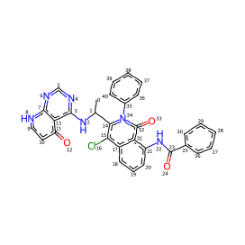 CC(Nc1ncnc2[nH]ccc(=O)c12)c1c(Cl)c2cccc(NC(=O)c3ccccc3)c2c(=O)n1-c1ccccc1